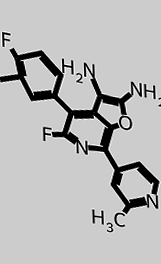 Cc1cc(-c2nc(F)c(-c3ccc(F)c(F)c3)c3c(N)c(N)oc23)ccn1